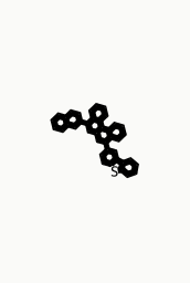 c1ccc2cc(-c3cc4cc(-c5ccc6sc7ccccc7c6c5)c5ccccc5c4c4ccccc34)ccc2c1